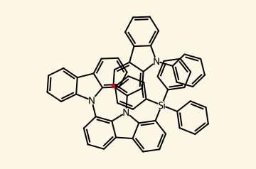 c1ccc(-n2c3ccccc3c3ccc(-n4c5c(-n6c7ccccc7c7ccccc76)cccc5c5cccc([Si](c6ccccc6)(c6ccccc6)c6ccccc6)c54)cc32)cc1